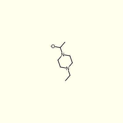 CCN1CCN(C(C)[O])CC1